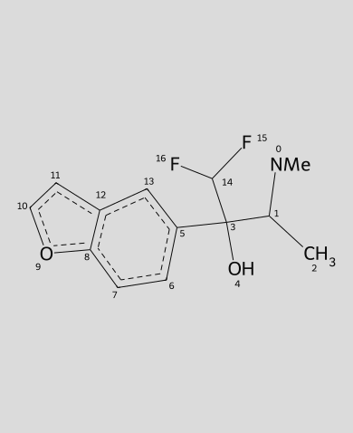 CNC(C)C(O)(c1ccc2occc2c1)C(F)F